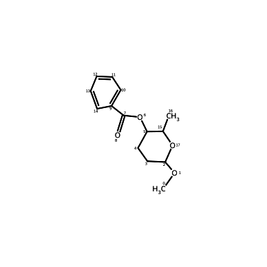 COC1CCC(OC(=O)c2ccccc2)C(C)O1